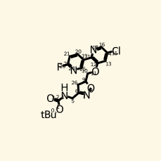 CC(C)(C)OC(=O)NCC1=NOC(COc2cc(Cl)cnc2-c2ccc(F)nc2)C1